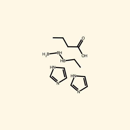 BBBCC.CCCC(=O)O.c1c[nH]cn1.c1c[nH]cn1